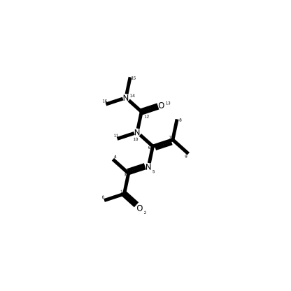 CC(=O)/C(C)=N/C(=C(C)C)N(C)C(=O)N(C)C